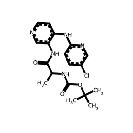 CC(NC(=O)OC(C)(C)C)C(=O)Nc1cnccc1Nc1ccc(Cl)cn1